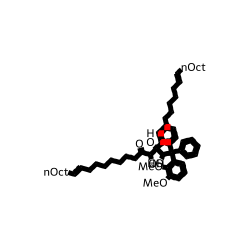 CCCCCCCCC=CCCCCCCCC(=O)C(O)C(O)(C(=O)CCCCCCCC=CCCCCCCCC)C(O)C(c1ccccc1)(c1ccccc1)c1cccc(OC)c1OC